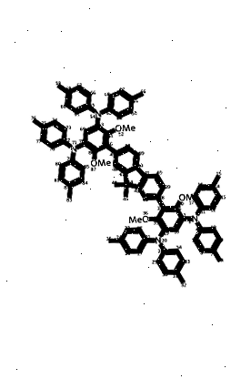 COc1c(N(c2ccc(C)cc2)c2ccc(C)cc2)cc(N(c2ccc(C)cc2)c2ccc(C)cc2)c(OC)c1-c1ccc2c(c1)C(C)(C)c1cc(-c3c(OC)c(N(c4ccc(C)cc4)c4ccc(C)cc4)cc(N(c4ccc(C)cc4)c4ccc(C)cc4)c3OC)ccc1-2